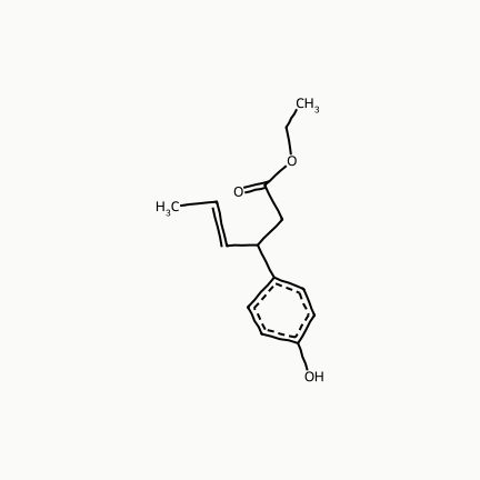 CC=CC(CC(=O)OCC)c1ccc(O)cc1